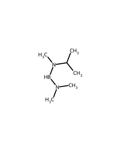 CC(C)N(C)BN(C)C